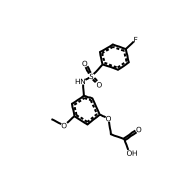 COc1cc(NS(=O)(=O)c2ccc(F)cc2)cc(OCC(=O)O)c1